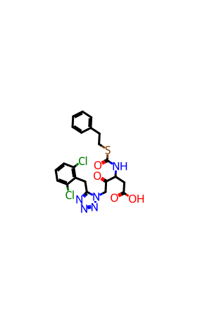 O=C(O)CC(NC(=O)SCCc1ccccc1)C(=O)Cn1nnnc1Cc1c(Cl)cccc1Cl